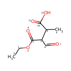 CCOC(=O)C(C=O)C(C)C(=O)O